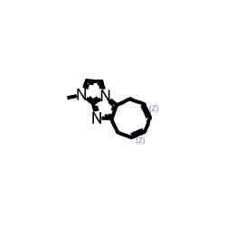 Cn1ccn2c3c(nc12)C/C=C\C=C/C3